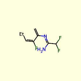 C=C(/N=C(\N)C(F)F)/C(F)=C\CC